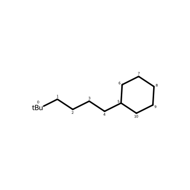 CC(C)(C)CCCCC1CCCCC1